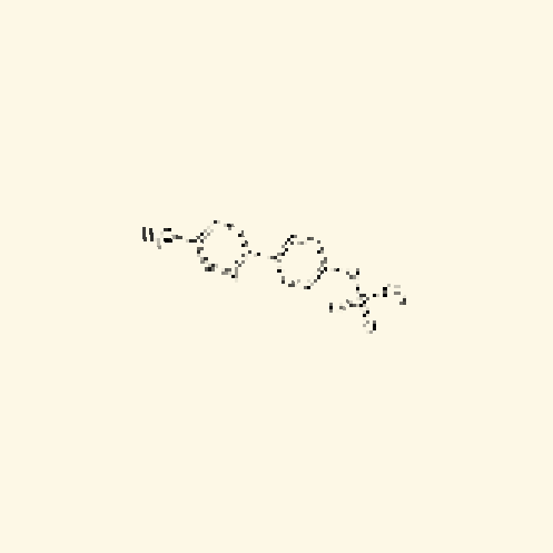 Cc1ccc(-c2ccc(OS(=O)(=O)C(F)(F)F)cc2)nc1